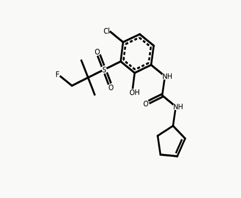 CC(C)(CF)S(=O)(=O)c1c(Cl)ccc(NC(=O)NC2C=CCC2)c1O